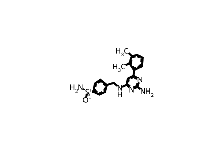 Cc1cccc(-c2cc(NCc3ccc([S@+](N)[O-])cc3)nc(N)n2)c1C